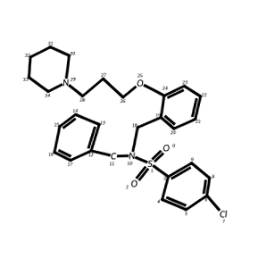 O=S(=O)(c1ccc(Cl)cc1)N(Cc1ccccc1)Cc1ccccc1OCCCN1CCCCC1